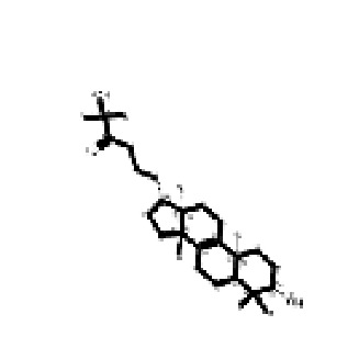 CC(C)(O)C(=O)CCC[C@H]1CC[C@@]2(C)C3=C(CC[C@]12C)[C@@]1(C)CC[C@H](O)C(C)(C)C1CC3